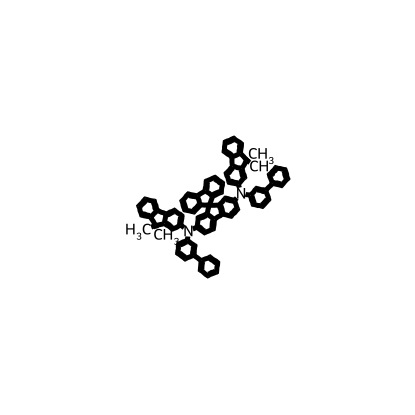 CC1(C)c2ccccc2-c2ccc(N(c3cccc(-c4ccccc4)c3)c3ccc4c(c3)C3(c5ccccc5-c5ccccc53)c3cc(N(c5cccc(-c6ccccc6)c5)c5ccc6c(c5)C(C)(C)c5ccccc5-6)ccc3-4)cc21